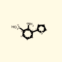 Nc1c(-c2cccs2)cccc1S(=O)(=O)O